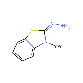 CCCn1c(=NN)sc2ccccc21